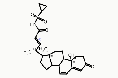 C[C@H](/C=C/C(=O)NS(=O)(=O)C1CC1)C1CCC2C3C=CC4=CC(=O)CC[C@]4(C)C3CC[C@@]21C